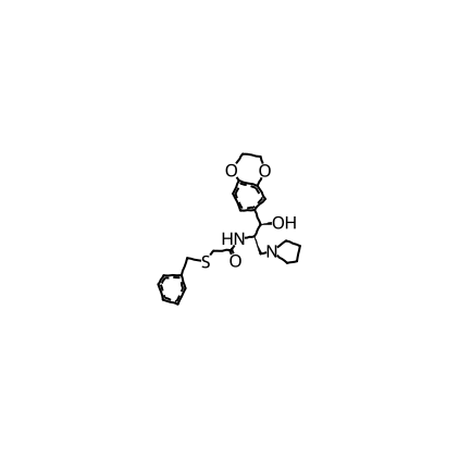 O=C(CSCc1ccccc1)N[C@H](CN1CCCC1)[C@H](O)c1ccc2c(c1)OCCO2